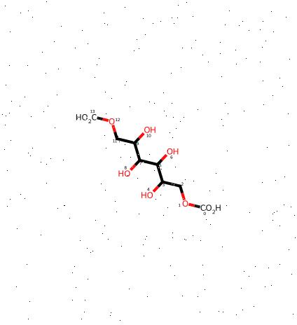 O=C(O)OCC(O)C(O)C(O)C(O)COC(=O)O